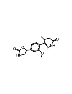 COc1cc(C2CNC(=O)O2)ccc1C1=NNC(=O)CC1C